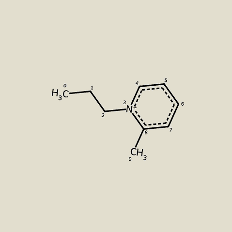 CCC[n+]1ccccc1C